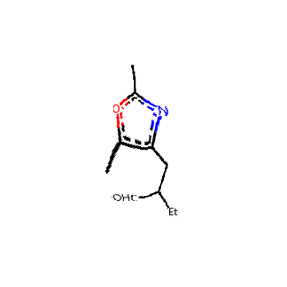 [CH2]CC([C]=O)Cc1nc(C)oc1C